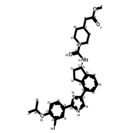 COC(=O)CC1CCN(C(=O)N[C@H]2CCc3c(-c4cnc(-c5ccc(OC(C)C)c(I)c5)s4)cccc32)CC1